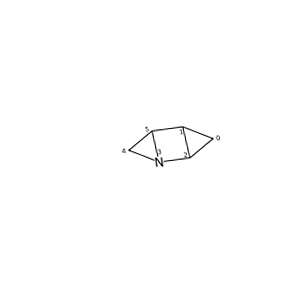 C1C2C1N1CC21